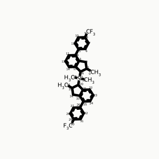 CC1Cc2c(-c3ccc(C(F)(F)F)cc3)cccc2C1[Si](C)(C)C1c2cccc(-c3ccc(C(F)(F)F)cc3)c2CC1C